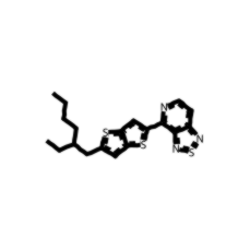 CCCCC(CC)Cc1cc2sc(-c3nccc4nsnc34)cc2s1